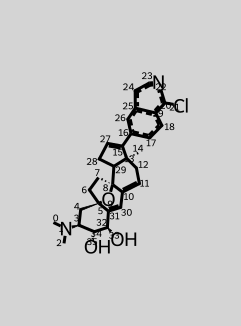 CN(C)[C@H]1C[C@@]23CC[C@@]4(O2)C(=CC[C@]2(C)C(c5ccc6c(Cl)nccc6c5)=CCC24)C=C3[C@@H](O)[C@@H]1O